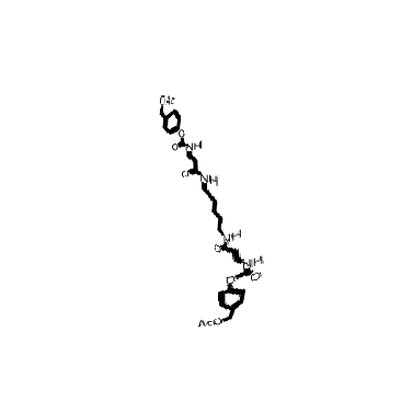 CC(=O)OCc1ccc(OC(=O)NCCC(=O)NCCCCCNC(=O)CCNC(=O)Oc2ccc(COC(C)=O)cc2)cc1